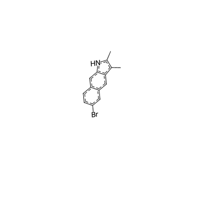 Cc1[nH]c2cc3ccc(Br)cc3cc2c1C